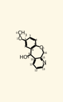 COc1ccc2c(c1)C(O)c1cccnc1CO2